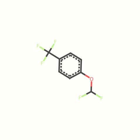 FC(F)Oc1[c]cc(C(F)(F)F)cc1